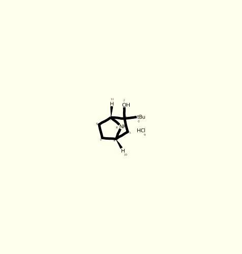 CC(C)(C)C1(O)C[C@@H]2CC[C@H]1N2.Cl